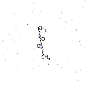 CCCC/C=C/C(=O)CCC(=O)/C=C/CCCC